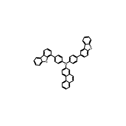 c1ccc2c(c1)ccc1cc(N(c3ccc(-c4ccc5sc6ccccc6c5c4)cc3)c3ccc(-c4cccc5c4sc4ccccc45)cc3)ccc12